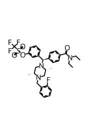 CCN(CC)C(=O)c1ccc([C@H](c2cccc(OS(=O)(=O)C(F)(F)F)c2)N2C[C@@H](C)N(Cc3ccccc3F)C[C@H]2C)cc1